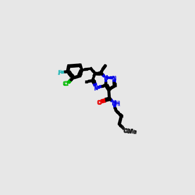 COCCCNC(=O)c1cnn2c(C)c(Cc3ccc(F)c(Cl)c3)c(C)nc12